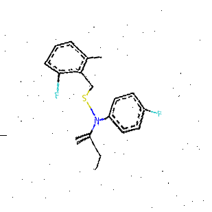 C=C(CC)N(SCc1c(C)cccc1F)c1ccc(F)cc1